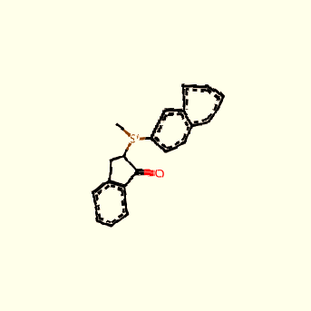 C[S+](c1ccc2ccccc2c1)C1Cc2ccccc2C1=O